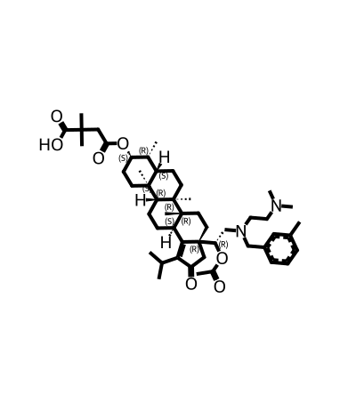 CC(=O)O[C@@H](CN(CCN(C)C)Cc1cccc(C)c1)[C@@]12CC[C@]3(C)[C@H](CC[C@@H]4[C@@]5(C)CC[C@H](OC(=O)CC(C)(C)C(=O)O)[C@H](C)[C@@H]5CC[C@]43C)C1=C(C(C)C)C(=O)C2